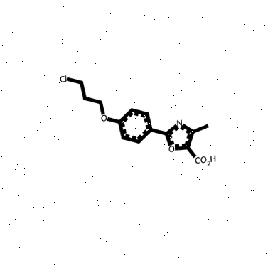 Cc1nc(-c2ccc(OCCCCl)cc2)oc1C(=O)O